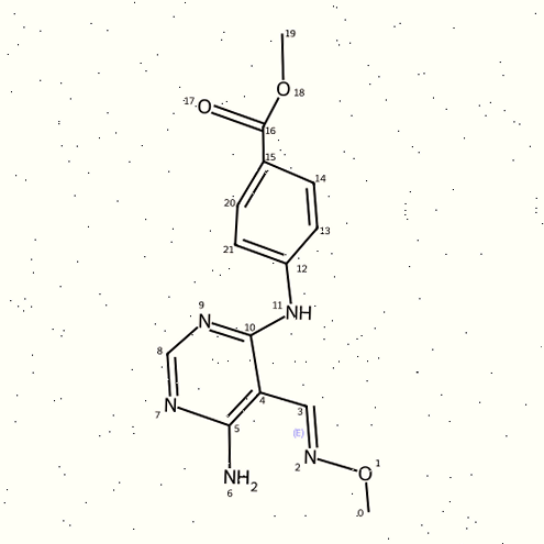 CO/N=C/c1c(N)ncnc1Nc1ccc(C(=O)OC)cc1